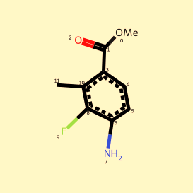 COC(=O)c1ccc(N)c(F)c1C